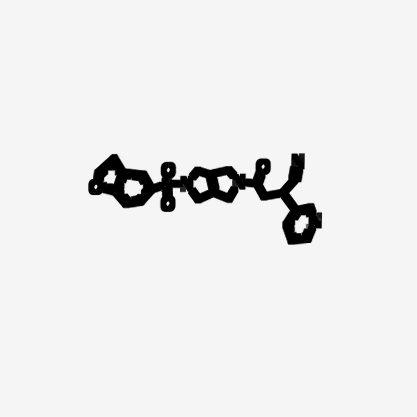 N#CC(CC(=O)N1CC2=C(C1)CN(S(=O)(=O)c1ccc3occc3c1)C2)c1cccnc1